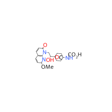 COc1ccc2ccc(=O)n(CC(O)C34CCC(NC(=O)O)(CC3)CO4)c2n1